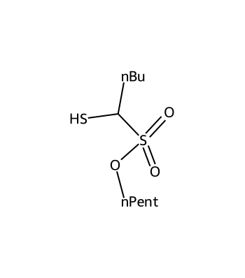 CCCCCOS(=O)(=O)C(S)CCCC